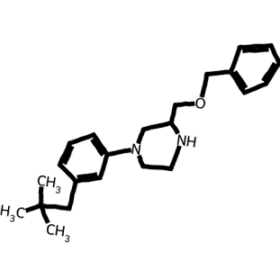 CC(C)(C)Cc1cccc(N2CCNC(COCc3ccccc3)C2)c1